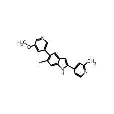 COc1cncc(-c2cc3cc(-c4ccnc(C)c4)[nH]c3cc2F)c1